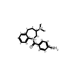 CN(C)C1CCc2ccccc2N(C(=O)c2ccc(N)cc2)C1